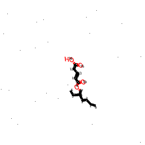 CCCCC(CC)COC(=O)C=CCC(=O)O